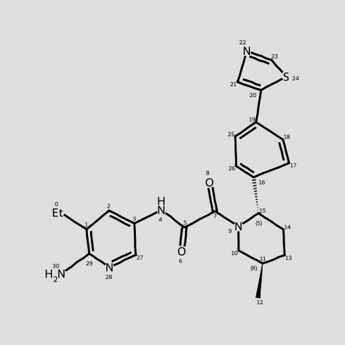 CCc1cc(NC(=O)C(=O)N2C[C@H](C)CC[C@H]2c2ccc(-c3cncs3)cc2)cnc1N